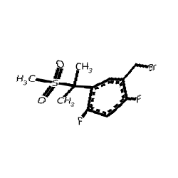 CC(C)(c1cc(CBr)c(F)cc1F)S(C)(=O)=O